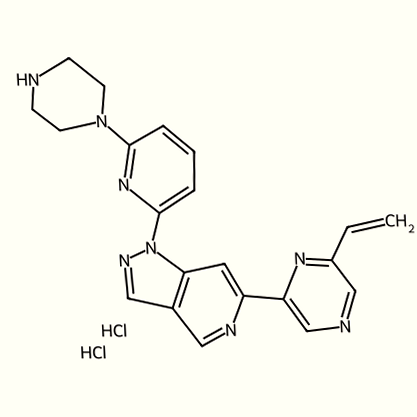 C=Cc1cncc(-c2cc3c(cn2)cnn3-c2cccc(N3CCNCC3)n2)n1.Cl.Cl